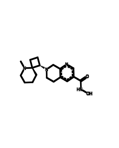 CN1CCCC[C@]12CC[C@@H]2N1CCc2cc(C(=O)NO)cnc2C1